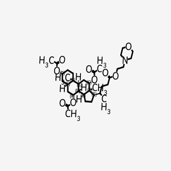 CC(=O)O[C@@H]1CC[C@@]2(C)[C@@H](C1)C[C@@H](OC(C)=O)[C@@H]1[C@@H]2C[C@H](OC(C)=O)[C@]2(C)[C@@H](C(C)CCC(=O)OCCN3CCOCC3)CC[C@@H]12